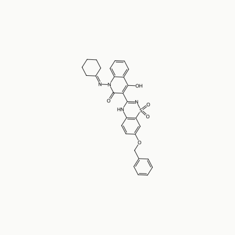 O=c1c(C2=NS(=O)(=O)c3cc(OCc4ccccc4)ccc3N2)c(O)c2ccccc2n1N=C1CCCCC1